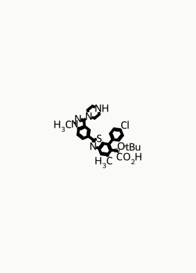 Cc1cc2nc(-c3ccc4c(c3)c(N3CCNCC3)nn4C)sc2c(-c2ccc(Cl)cc2)c1[C@H](OC(C)(C)C)C(=O)O